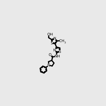 Cc1nc(CO)sc1-c1csc(NC(=O)C2CCN(c3ccccc3)C2)n1